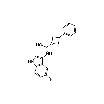 OC(Nc1c[nH]c2ncc(F)cc12)N1CC(c2ccccc2)C1